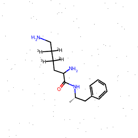 [2H]C([2H])(CN)C([2H])([2H])CC(N)C(=O)N[C@@H](C)Cc1ccccc1